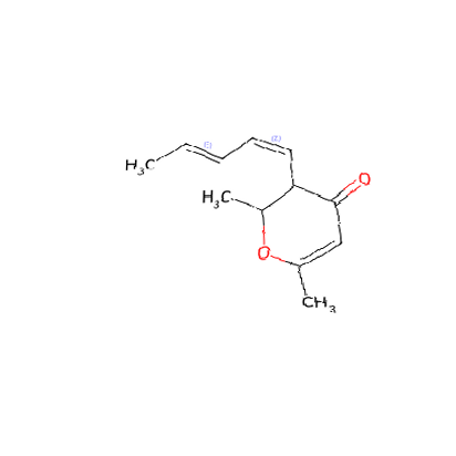 C/C=C/C=C\C1C(=O)C=C(C)OC1C